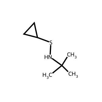 CC(C)(C)NSC1CC1